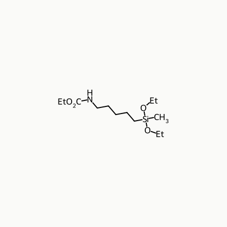 CCOC(=O)NCCCCC[Si](C)(OCC)OCC